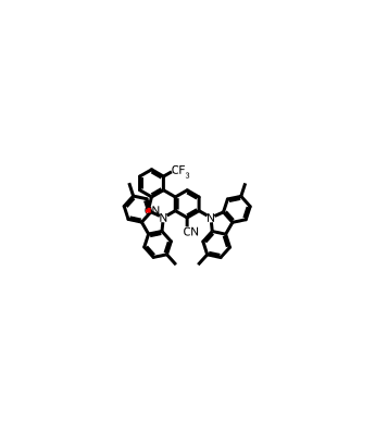 Cc1ccc2c3ccc(C)cc3n(-c3ccc(-c4c(C#N)cccc4C(F)(F)F)c(-n4c5cc(C)ccc5c5ccc(C)cc54)c3C#N)c2c1